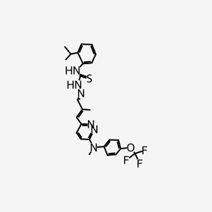 CC(/C=N/NC(=S)Nc1ccccc1C(C)C)=C\c1ccc(N(C)c2ccc(OC(F)(F)F)cc2)nn1